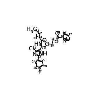 CN1CC(C(=O)NC(COCCCC(=O)c2ccon2)c2[nH]c(-c3ccc(F)cc3)nc2Cl)C1